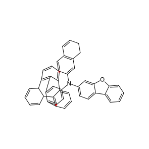 C1=CC2c3cccc4c3-c3cc(N(c5ccc6c(c5)CCC=C6)c5ccc6c(c5)oc5ccccc56)ccc3-c3cccc-4c3C2C=C1